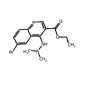 CCOC(=O)c1cnc2ccc(Br)cc2c1NN(C)C